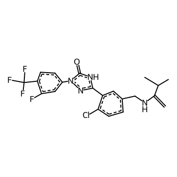 C=C(NCc1ccc(Cl)c(-c2nn(-c3ccc(C(F)(F)F)c(F)c3)c(=O)[nH]2)c1)C(C)C